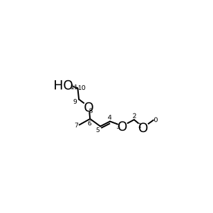 COCOC=CC(C)OCCO